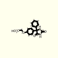 O=C(O)COc1ccc(C2(c3ccccc3)NC(=O)NC2=O)cc1